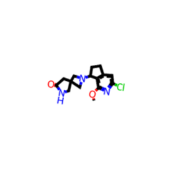 COc1nc(Cl)cc2c1C(N1CC3(CNC(=O)C3)C1)CC2